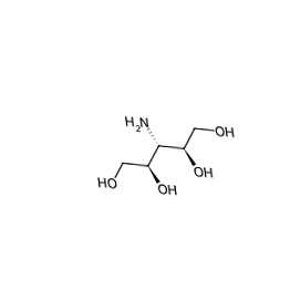 N[C@H]([C@H](O)CO)[C@@H](O)CO